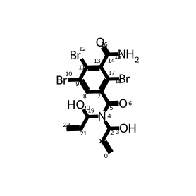 C=CC(O)N(C(=O)c1cc(Br)c(Br)c(C(N)=O)c1Br)C(O)C=C